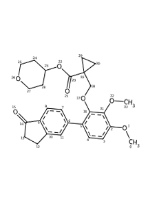 COc1ccc(-c2ccc3c(c2)CCC3=O)c(OCC2(C(=O)OC3CCOCC3)CC2)c1OC